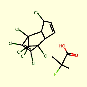 CC(C)(F)C(=O)O.ClC1=C(Cl)C2(Cl)C3C(Cl)C=CC3C1(Cl)C2(Cl)Cl